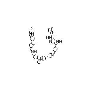 Cc1cc(CNCc2ccc(C(=O)N3CCC(C4CCN(Cc5ccc(-c6c[nH]c7nc(NCCC(F)(F)F)ncc67)cc5)CC4)CC3)cc2)ccc1-c1ccc2nn(CC3CC3)cc2c1